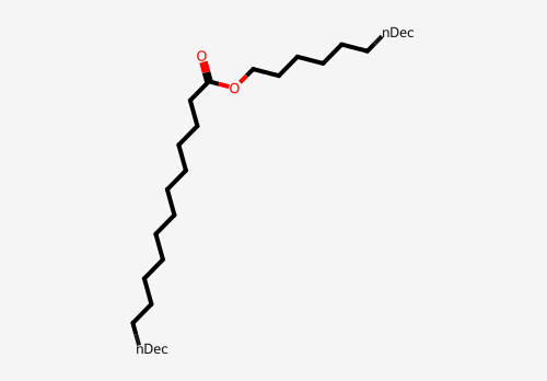 CCCCCCCCCCCCCCCCCCCCCC(=O)OCCCCCCCCCCCCCCCC